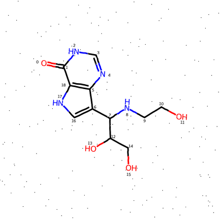 O=c1[nH]cnc2c(C(NCCO)C(O)CO)c[nH]c12